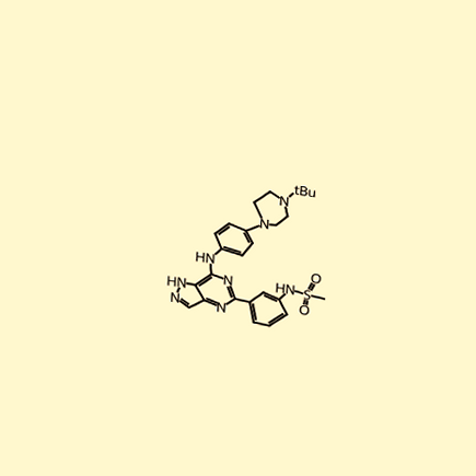 CC(C)(C)N1CCN(c2ccc(Nc3nc(-c4cccc(NS(C)(=O)=O)c4)nc4cn[nH]c34)cc2)CC1